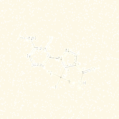 CNc1nccc(-n2ncc(C(=O)O)c2C(F)(F)F)c1C